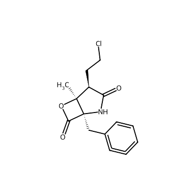 C[C@@]12OC(=O)[C@]1(CC1=C=C=CC=C1)NC(=O)[C@@H]2CCCl